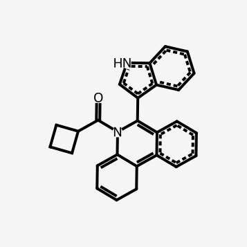 O=C(C1CCC1)N1C2=CC=CCC2=c2ccccc2=C1c1c[nH]c2ccccc12